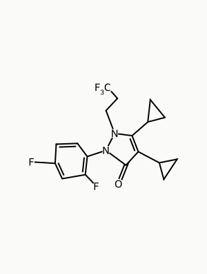 O=c1c(C2CC2)c(C2CC2)n(CCC(F)(F)F)n1-c1ccc(F)cc1F